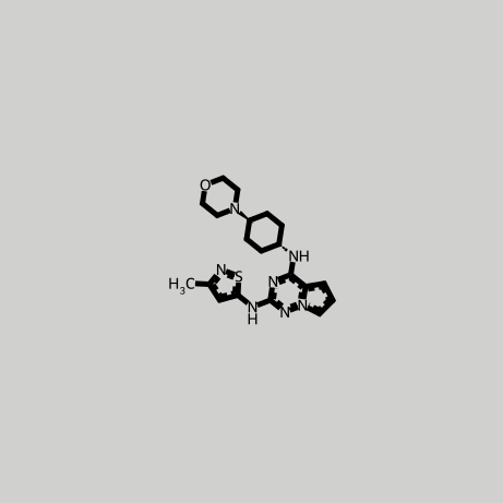 Cc1cc(Nc2nc(N[C@H]3CC[C@H](N4CCOCC4)CC3)c3cccn3n2)sn1